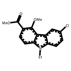 CCn1c2ccc(Cl)cc2c2c(OC)c(C(=O)OC)ccc21